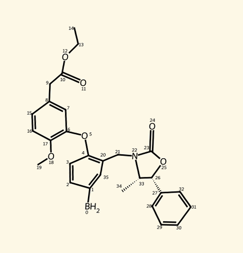 Bc1ccc(Oc2cc(CC(=O)OCC)ccc2OC)c(CN2C(=O)O[C@H](c3ccccc3)[C@@H]2C)c1